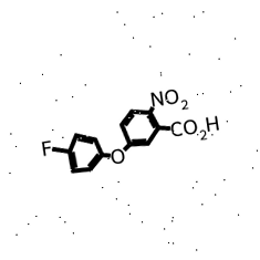 O=C(O)c1cc(Oc2ccc(F)cc2)ccc1[N+](=O)[O-]